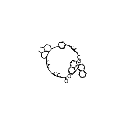 CC1CCC2C3=C=C=C(C=C3)C3=C=C=C(C=C3)COc3ccc4ccccc4c3-c3c(ccc4ccccc34)OC(=O)C3=CC=C(CC3)C3=CC=C(CC3)C3CCC(C)C1=C23